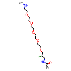 CC(C)NCCOCCOCCOCCOCCOCC(F)CNC(=O)C(C)C